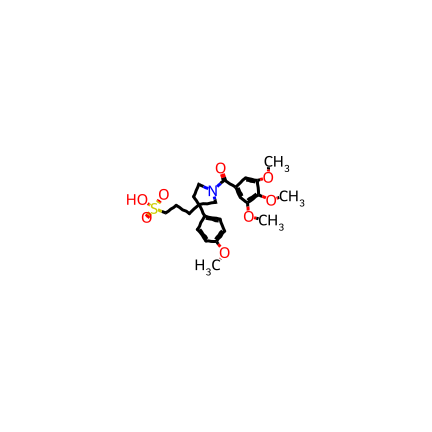 COc1ccc(C2(CCCS(=O)(=O)O)CCN(C(=O)c3cc(OC)c(OC)c(OC)c3)C2)cc1